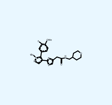 COc1ccc(-c2c(-c3nc(CC(=O)NCC4CCOCC4)cs3)cnn2C(C)(C)C)cc1F